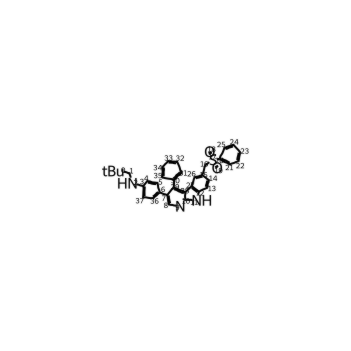 CC(C)(C)CNc1ccc(-c2cnc3[nH]c4ccc(CS(=O)(=O)c5ccccc5)cc4c3c2-c2ccccc2)cc1